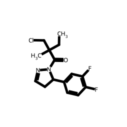 CCC(C)(CCl)C(=O)N1N=CCC1c1ccc(F)c(F)c1